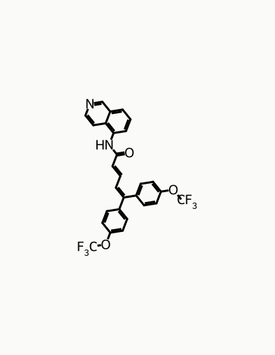 O=C(C=CC=C(c1ccc(OC(F)(F)F)cc1)c1ccc(OC(F)(F)F)cc1)Nc1cccc2cnccc12